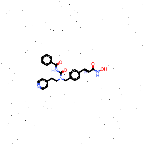 O=C(/C=C/c1ccc(CN(CCc2ccncc2)C(=O)NC(=O)c2ccccc2)cc1)NO